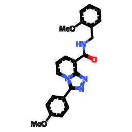 COc1ccc(-c2nnc3c(C(=O)NCc4ccccc4OC)cccn23)cc1